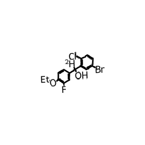 [2H]C(O)(c1ccc(OCC)c(F)c1)c1cc(Br)ccc1Cl